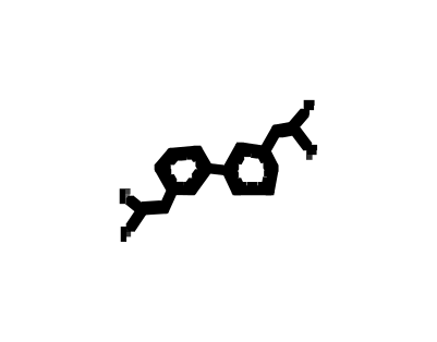 FC(F)=Cc1cccc(-c2cccc(C=C(F)F)c2)c1